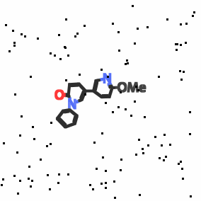 COc1ccc(-c2ccc(=O)n(-c3ccccc3)c2)cn1